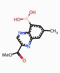 COC(=O)c1cnc2c(B(O)O)cc(C)cc2n1